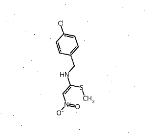 CS/C(=C\[N+](=O)[O-])NCc1ccc(Cl)cc1